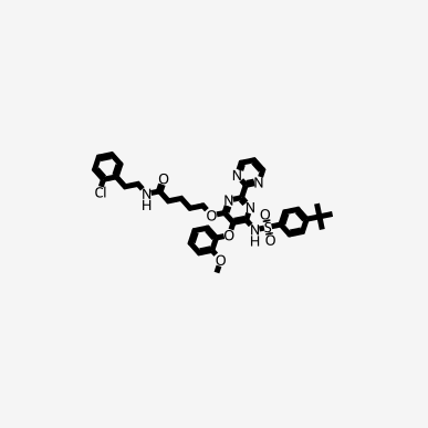 COc1ccccc1Oc1c(NS(=O)(=O)c2ccc(C(C)(C)C)cc2)nc(-c2ncccn2)nc1OCCCCC(=O)NCCc1ccccc1Cl